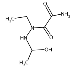 CCN(NC(C)O)C(=O)C(N)=O